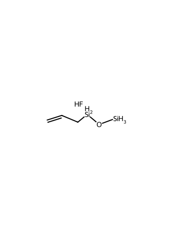 C=CC[SiH2]O[SiH3].F